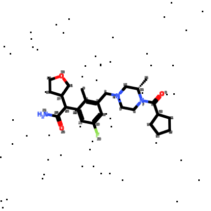 Cc1c(CN2CCN(C(=O)C3CCCC3)[C@@H](C)C2)cc(F)cc1C(C(N)=O)C1CCOC1